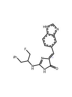 CC(C)CC(CF)NC1=N/C(=C\c2ccc3[nH]cnc3c2)C(=O)N1